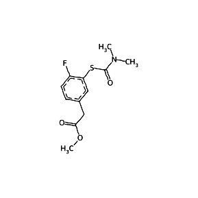 COC(=O)Cc1ccc(F)c(SC(=O)N(C)C)c1